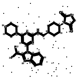 O=C1COC(=O)N1[C@H]1CC[C@H](CNc2nc(N3CCOCC3)cc(-n3c(C(F)F)nc4ccccc43)n2)CC1